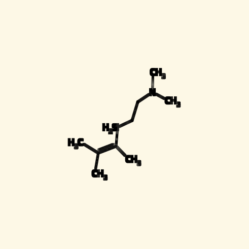 CC(C)=C(C)[SiH2]CCN(C)C